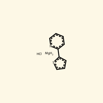 Cl.[MgH2].c1ccc(-c2cccs2)nc1